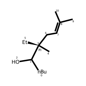 CCCCC(O)[C@](C)(CC)CC=C(C)C